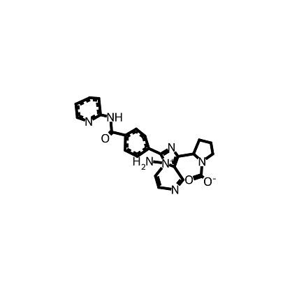 N[N+]12C=CN=CC1=C(C1CCCN1C(=O)[O-])N=C2c1ccc(C(=O)Nc2ccccn2)cc1